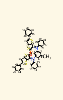 Cc1cc2c3c(c1)N(c1ccccc1)c1c(sc4cc(-c5ccccc5)sc14)P3(=O)c1sc3cc(-c4ccccc4)sc3c1N2c1ccccc1